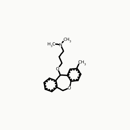 Cc1ccc2c(c1)C(OCCCN(C)C)c1ccccc1CO2